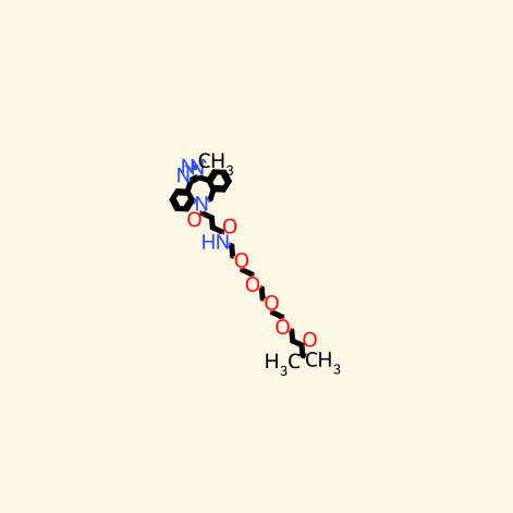 CC(C)C(=O)CCOCCOCCOCCOCCNC(=O)CCC(=O)N1Cc2ccccc2-c2c(nnn2C)-c2ccccc21